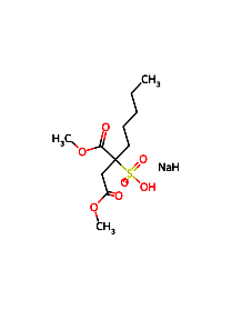 CCCCCC(CC(=O)OC)(C(=O)OC)S(=O)(=O)O.[NaH]